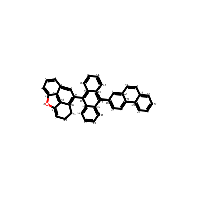 C1=c2oc3cccc4cc(-c5c6ccccc6c(-c6ccc7c(ccc8ccccc87)c6)c6ccccc56)c(c2c43)CC1